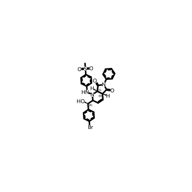 CS(=O)(=O)c1ccc(NN2C([C@H](O)c3ccc(Br)cc3)C=C[C@H]3C(=O)N(c4ccccc4)C(=O)[C@H]32)cc1